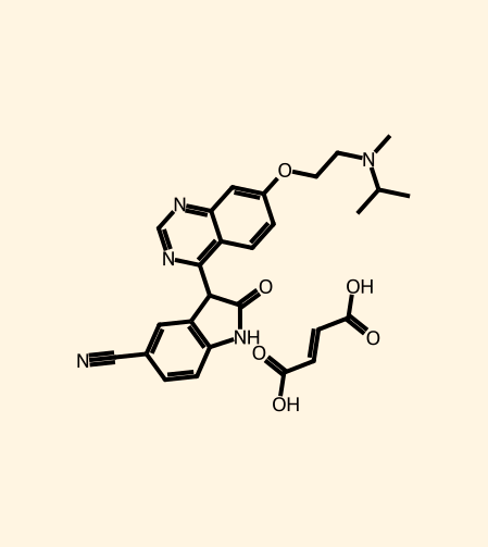 CC(C)N(C)CCOc1ccc2c(C3C(=O)Nc4ccc(C#N)cc43)ncnc2c1.O=C(O)C=CC(=O)O